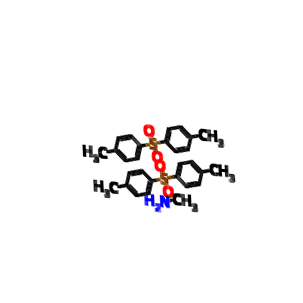 CN.Cc1ccc(S(=O)(=O)c2ccc(C)cc2)cc1.Cc1ccc(S(=O)(=O)c2ccc(C)cc2)cc1